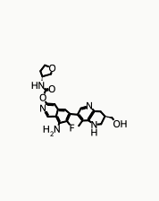 Cc1c(-c2cc3cc(OC(=O)N[C@@H]4CCOC4)ncc3c(N)c2F)cnc2c1NC[C@H](CO)C2